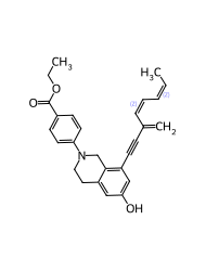 C=C(C#Cc1cc(O)cc2c1CN(c1ccc(C(=O)OCC)cc1)CC2)/C=C\C=C/C